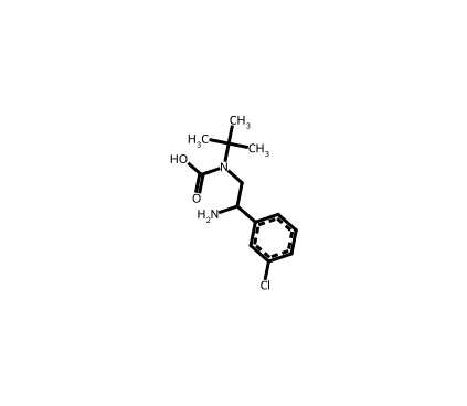 CC(C)(C)N(CC(N)c1cccc(Cl)c1)C(=O)O